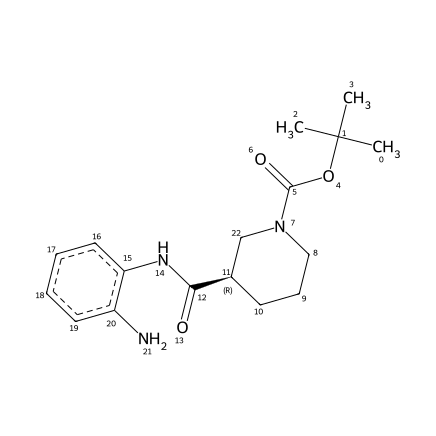 CC(C)(C)OC(=O)N1CCC[C@@H](C(=O)Nc2ccccc2N)C1